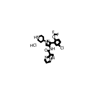 Cl.O=C(Nc1cn(C2CCNCC2)nc1-c1cc(Cl)ccc1OC(F)F)c1cnn2cccnc12